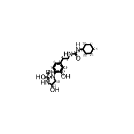 O=C(NCCc1ccc(N2CC(O)NS2(O)O)c(O)c1)NC1CCCCC1